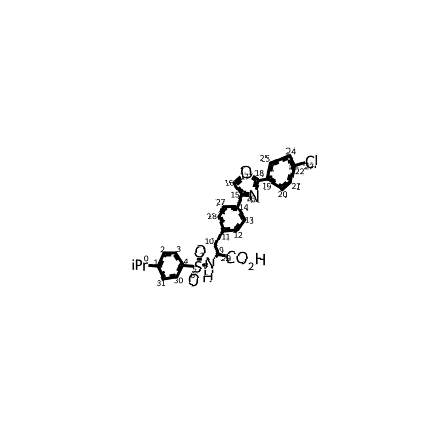 CC(C)c1ccc(S(=O)(=O)NC(Cc2ccc(-c3coc(-c4ccc(Cl)cc4)n3)cc2)C(=O)O)cc1